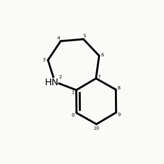 C1=C2NCCCCC2CCC1